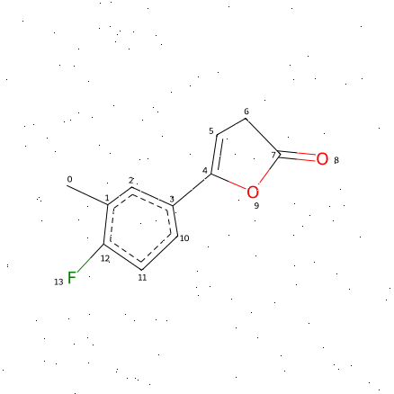 Cc1cc(C2=CCC(=O)O2)ccc1F